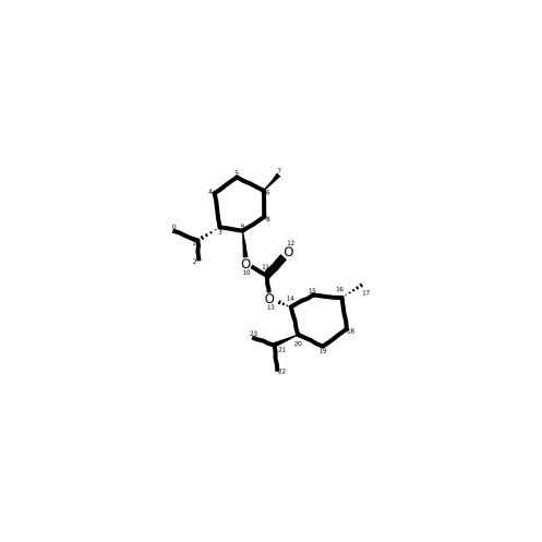 CC(C)[C@@H]1CC[C@@H](C)C[C@H]1OC(=O)O[C@@H]1C[C@H](C)CC[C@H]1C(C)C